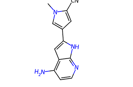 Cn1cc(-c2cc3c(N)ccnc3[nH]2)cc1C#N